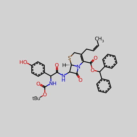 C/C=C\CC1=C(C(=O)OC(c2ccccc2)c2ccccc2)N2C(=O)C(NC(=O)C(NC(=O)OC(C)(C)C)c3ccc(O)cc3)[C@H]2SC1